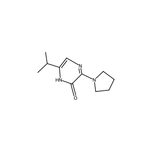 CC(C)c1cnc(N2CCCC2)c(=O)[nH]1